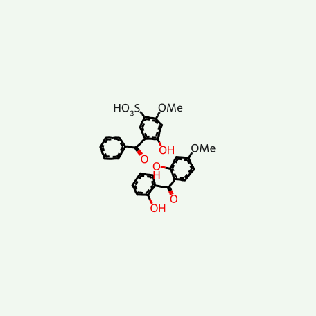 COc1cc(O)c(C(=O)c2ccccc2)cc1S(=O)(=O)O.COc1ccc(C(=O)c2ccccc2O)c(O)c1